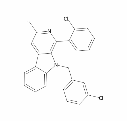 [CH2]c1cc2c3ccccc3n(Cc3cccc(Cl)c3)c2c(-c2ccccc2Cl)n1